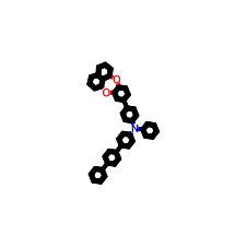 c1ccc(-c2ccc(-c3ccc(N(c4ccccc4)c4ccc(-c5ccc6c(c5)Oc5cccc7cccc(c57)O6)cc4)cc3)cc2)cc1